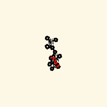 c1ccc(-c2nc(-c3ccccc3-n3c4ccccc4c4cc(-c5ccc6c(c5)c5ccccc5n6-c5nc(-c6ccccc6)nc(-c6ccccc6)n5)ccc43)cc(-c3ccccc3-n3c4ccccc4c4c3ccc3c5ccccc5n(-c5ccccc5)c34)n2)cc1